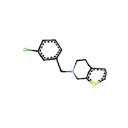 Clc1cccc(CN2CCc3ccsc3C2)c1